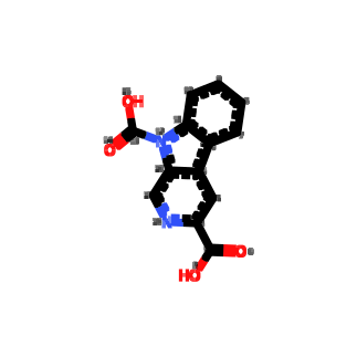 O=C(O)c1cc2c3ccccc3n(C(=O)O)c2cn1